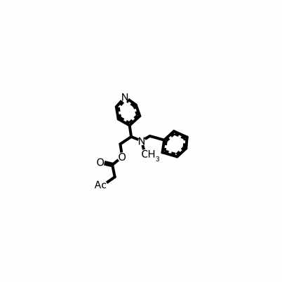 CC(=O)CC(=O)OCC(c1ccncc1)N(C)Cc1ccccc1